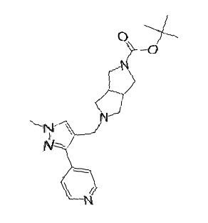 Cn1cc(CN2CC3CN(C(=O)OC(C)(C)C)CC3C2)c(-c2ccncc2)n1